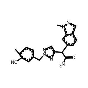 Cc1ccc(Cn2ncc(C(C(N)=O)c3ccc4cnn(C)c4c3)n2)cc1C#N